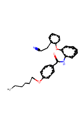 CCCCCCOc1ccc(C(=O)Nc2ccccc2Oc2ccccc2CC#N)cc1